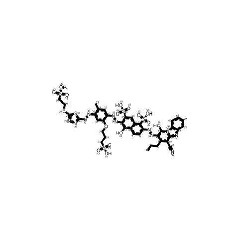 CCCc1c(N=Nc2ccc3c(O)c(N=Nc4cc(C)c(N=Nc5nnc(SCCS(=O)(=O)O)s5)cc4OCCCS(=O)(=O)O)c(S(=O)(=O)O)cc3c2S(=O)(=O)O)c(O)n2c(nc3ccccc32)c1C#N